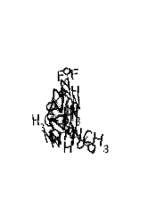 Cc1cccc(-c2nc(CN(I)CCc3c(F)cccc3F)[nH]c2-c2cc(-c3cc(C)nc(-c4nc(CN(I)Cc5cccc(-c6ccccc6)c5C)[nH]c4-c4ccc5ncnn5c4)c3)c3nccnc3c2)n1